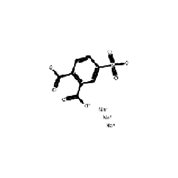 O=C([O-])c1ccc(S(=O)(=O)[O-])cc1C(=O)[O-].[Na+].[Na+].[Na+]